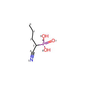 CCCC(C#N)P(=O)(O)O